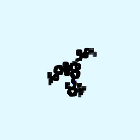 COC(=O)CC[C@H]1CN(S(=O)(=O)c2cccc(OC(F)F)c2)c2cc(/C=C/c3c(F)cccc3C(F)(F)F)ccc2O1